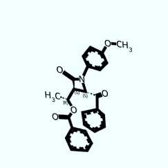 COc1ccc(N2C(=O)[C@H]([C@@H](C)OC(=O)c3ccccc3)[C@H]2C(=O)c2ccccc2)cc1